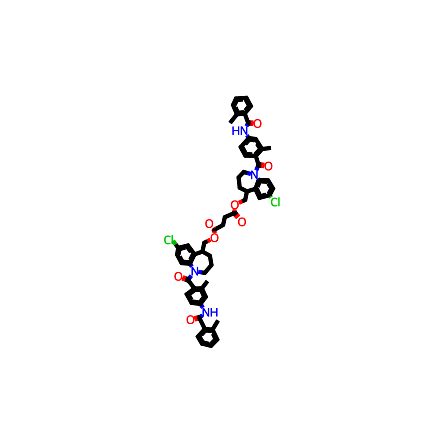 Cc1ccccc1C(=O)Nc1ccc(C(=O)N2CCCC(COC(=O)CCC(=O)OCC3CCCN(C(=O)c4ccc(NC(=O)c5ccccc5C)cc4C)c4ccc(Cl)cc43)c3cc(Cl)ccc32)c(C)c1